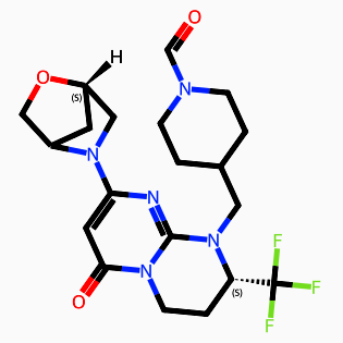 O=CN1CCC(CN2c3nc(N4C[C@@H]5CC4CO5)cc(=O)n3CC[C@H]2C(F)(F)F)CC1